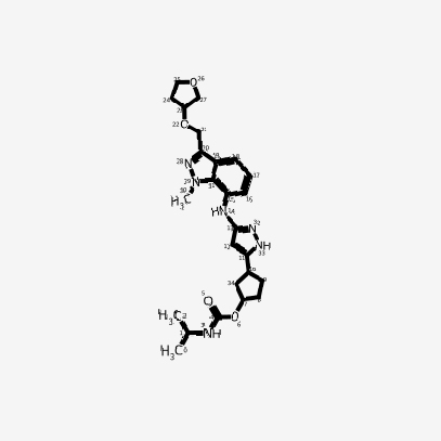 CC(C)NC(=O)OC1CCC(c2cc(Nc3cccc4c(COC5CCOC5)nn(C)c34)n[nH]2)C1